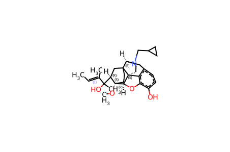 C/C=C(\C)C(C)(O)[C@H]1CC23CC[C@@]1(OC)[C@@H]1Oc4c(O)ccc5c4[C@@]12CCN(CC1CC1)[C@@H]3C5